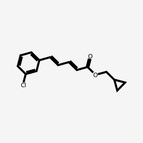 O=C(C=CC=Cc1cccc(Cl)c1)OCC1CC1